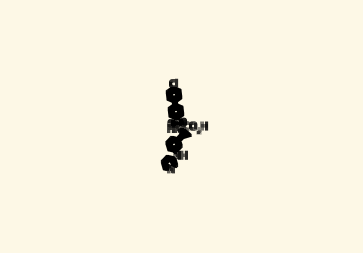 O=C(O)C1(NS(=O)(=O)c2ccc(-c3ccc(Cl)cc3)cc2)CC1c1cccc(Nc2cccnc2)c1